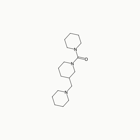 O=C(N1CCCCC1)N1CCCC(CN2CCCCC2)C1